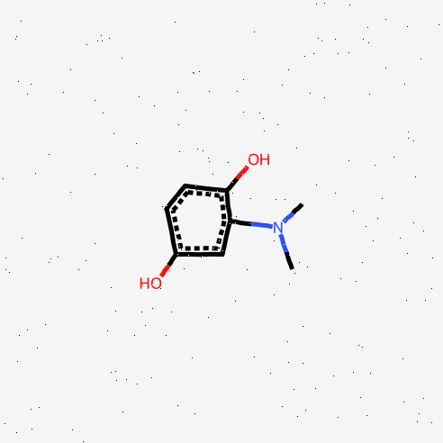 CN(C)c1cc(O)ccc1O